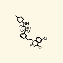 CC1CCC(NC(=O)NS(=O)(=O)c2cccc(CCN3CNC(=O)c4cc(Cl)ccc43)c2)CC1